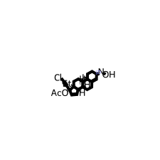 CC[C@]12CC[C@H]3[C@@H](CCC4=C/C(=N\O)CC[C@@H]43)[C@@H]1C=C[C@]2(C#CCl)OC(C)=O